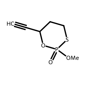 C#CC1CCSP(=O)(OC)O1